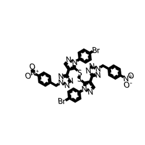 O=[N+]([O-])c1ccc(Cn2nnc(-c3cnn(-c4ccc(Br)cc4)c3SSc3c(-c4nnn(Cc5ccc([N+](=O)[O-])cc5)n4)cnn3-c3ccc(Br)cc3)n2)cc1